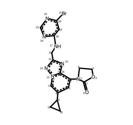 O=C1OCCN1c1cc(C2CC2)cn2nc(CNc3cc(Br)ncn3)nc12